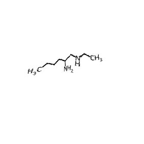 CCCCC(N)CNCC